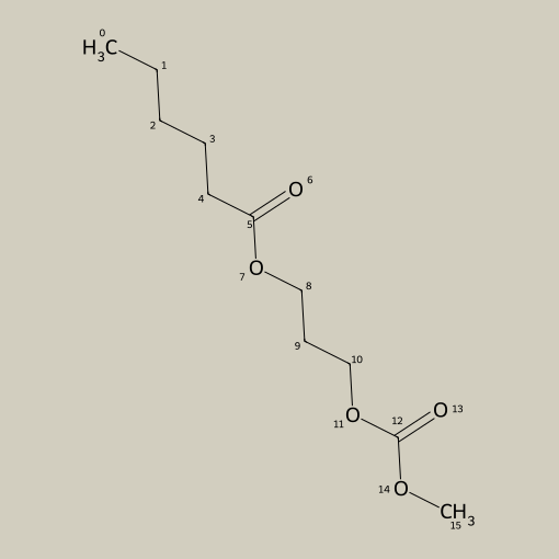 CCCCCC(=O)OCCCOC(=O)OC